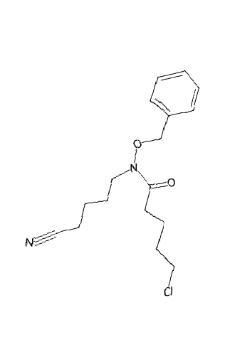 N#CCCCCN(OCc1ccccc1)C(=O)CCCCCl